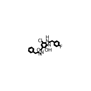 Oc1c(-c2nnc(Cc3ccccc3)o2)cc(Cl)c2[nH]c(Cc3ccc(F)cc3)nc12